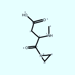 CNC(CC(=O)O)C(=O)N1CC1